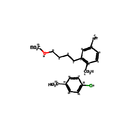 CCCc1ccc(C(=O)O)c(CCCCOC(=O)OCC)c1.O=C(O)c1ccc(Cl)cc1